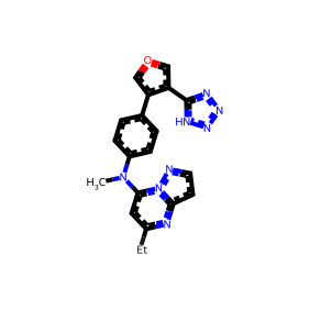 CCc1cc(N(C)c2ccc(-c3cocc3-c3nnn[nH]3)cc2)n2nccc2n1